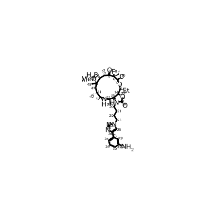 B[C@@H]1[C@H](C)C(=O)[C@](C)(F)C(=O)O[C@H](CC)[C@@]2(C)OC(=O)N(CCCCn3cc(-c4cccc(N)c4)nn3)[C@@H]2[C@@H](C)NC[C@H](C)C[C@@]1(C)OC